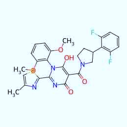 COc1cccc(OC)c1-n1c(-c2nc(C)cs2)nc(=O)c(C(=O)N2CCC(c3c(F)cccc3F)C2)c1O